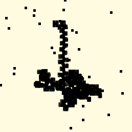 CCCCCCCCCCCCCCCCCCOC[C@H](COP(=O)(OC[C@@]1(C)O[C@@H](c2ccc3c(N)ncnn23)[C@@H]2OC(C)(C)O[C@@H]21)Oc1ccccc1Cl)OCc1ccc(C#N)c(-n2cncn2)c1